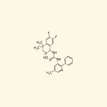 Cc1cnc(-c2ccccc2)c(NC(=O)NC2c3cc(F)c(F)cc3C(C)(C)C[C@H]2O)c1